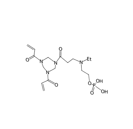 C=CC(=O)N1CN(C(=O)C=C)CN(C(=O)CCN(CC)CCOP(=O)(O)O)C1